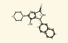 N#Cc1c(N2CCOCC2)sc2c1C(c1ccc3ccccc3c1)NC2=O